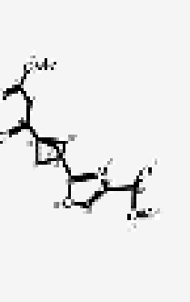 COC(=O)CC(=O)C12CC(c3nc(C(=O)OC)co3)(C1)C2